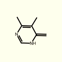 C=C1NC=NC(C)=C1C